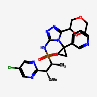 CO[C@H](c1ncc(Cl)cn1)[C@H](C)S(=O)(=O)Nc1nnc(C2COCCO2)n1C1(c2cccnc2)CC1